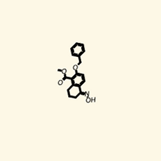 COC(=O)c1c(OCc2ccccc2)ccc2c1CCCC2=NO